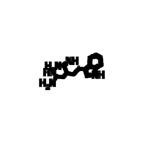 N=C(N)CC(C[CH]c1c[nH]c2ccccc12)C(=N)N